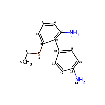 CCSc1cccc(N)c1-c1ccc(N)cc1